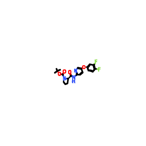 CC(C)(C)OC(=O)N1CCC[C@@H]1C(=O)Nc1ccc(Oc2ccc(F)c(F)c2)cn1